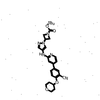 CC(C)(C)OC(=O)N1CC(n2cc(Nc3cc(-c4ccc(OC5CCOCC5)c(C#N)c4)ccn3)cn2)C1